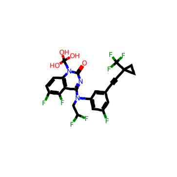 O=c1nc(N(CC(F)F)c2cc(F)cc(C#CC3(C(F)(F)F)CC3)c2)c2c(F)c(F)ccc2n1C(O)(O)O